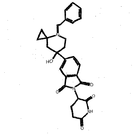 O=C1CCC(N2C(=O)c3ccc(C4(O)CCN(Cc5ccccc5)C5(CC5)C4)cc3C2=O)C(=O)N1